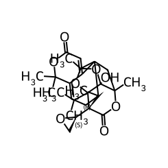 CC(C)C12OC3(C)OC1(O)C1(C)CC34C3=CC(=O)OC(C)(C)C3=CCC4(C)[C@]2([C@H]2CO2)C(=O)O1